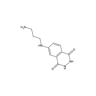 NCCCNc1ccc2c(=O)[nH][nH]c(=O)c2c1